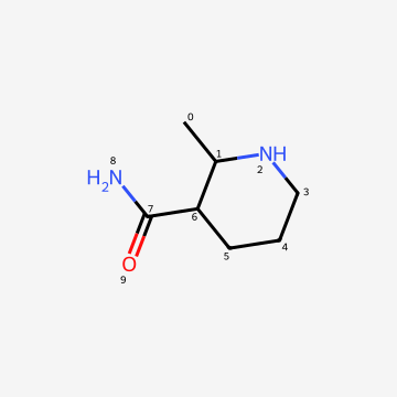 CC1NCCCC1C(N)=O